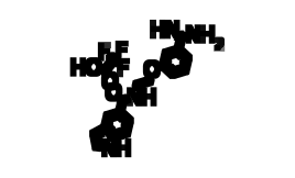 N=C(N)c1cccc(OCCNC(=O)c2ccc3[nH]ccc3c2)c1.O=C(O)C(F)(F)F